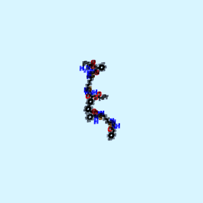 CC(C)CC(=O)OCC(C(=O)Nc1nnc(CCCCc2nnc(NC(=O)C(COC(=O)[C@@H](N)C(C)C)c3ccccc3)s2)s1)c1ccc(-c2cccc(C(=O)[C@H]3CCCC[C@@H]3C(=O)Nc3nnc(CCCCc4nnc(NC(=O)Cc5ccccc5)s4)s3)c2)cc1